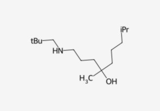 CC(C)CCCC(C)(O)CCCNCC(C)(C)C